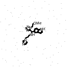 COCCn1nnnc1C(NCCCn1ccnc1)c1ccc2[nH]ccc2c1